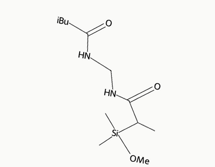 CCC(C)C(=O)NCNC(=O)C(C)[Si](C)(C)OC